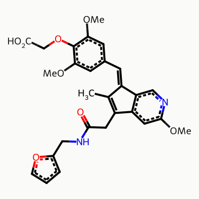 COc1cc2c(cn1)C(=Cc1cc(OC)c(OCC(=O)O)c(OC)c1)C(C)=C2CC(=O)NCc1ccco1